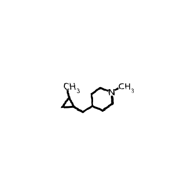 CC1CC1CC1CCN(C)CC1